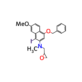 COc1ccc2c(OCc3ccccc3)cc(N(C)CC3CO3)c(I)c2c1